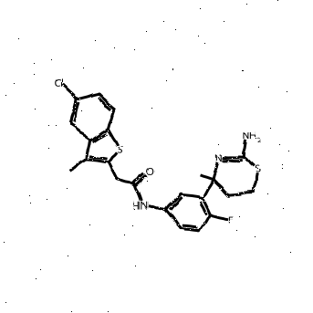 Cc1c(CC(=O)Nc2ccc(F)c(C3(C)CCSC(N)=N3)c2)sc2ccc(Cl)cc12